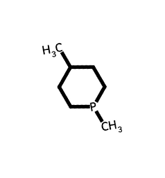 CC1CCP(C)CC1